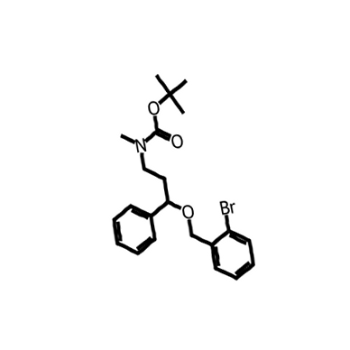 CN(CCC(OCc1ccccc1Br)c1ccccc1)C(=O)OC(C)(C)C